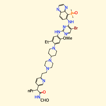 CCCC(C(=O)NC=O)c1ccc(CCN2CCN(C3CCN(c4cc(OC)c(Nc5ncc(Br)c(Nc6ccc7nccnc7c6P(C)(C)=O)n5)cc4CC)CC3)CC2)nc1